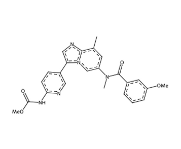 COC(=O)Nc1ccc(-c2cnc3c(C)cc(N(C)C(=O)c4cccc(OC)c4)cn23)cn1